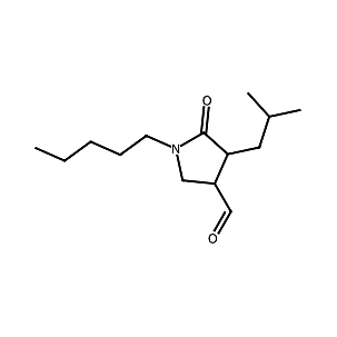 CCCCCN1CC(C=O)C(CC(C)C)C1=O